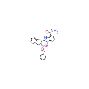 NC(=O)c1cccc2[nH]c(C3Cc4ccccc4CN3C(=O)OCc3ccccc3)nc12